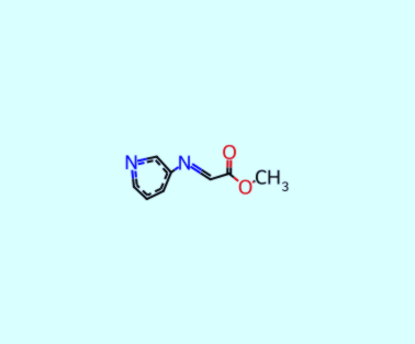 COC(=O)C=Nc1cccnc1